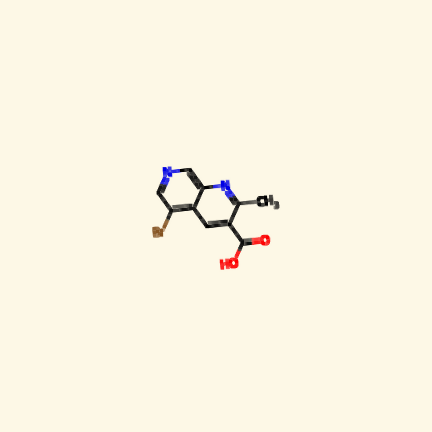 Cc1nc2cncc(Br)c2cc1C(=O)O